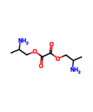 CC(N)COC(=O)C(=O)OCC(C)N